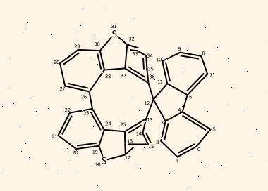 c1ccc2c(c1)-c1ccccc1C21c2cccc3sc4cccc(c4c23)-c2cccc3sc4cccc1c4c23